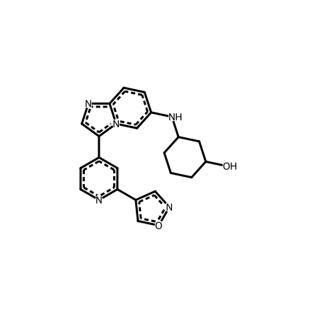 OC1CCCC(Nc2ccc3ncc(-c4ccnc(-c5cnoc5)c4)n3c2)C1